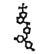 FC(F)(F)c1ccc2c(Nc3ccc(C[N+]4(c5ccc(Br)cc5)CCNCC4)cc3)ccnc2c1